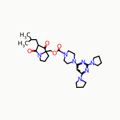 CC(C)CC1C(=O)N2CCCC2(COC(=O)N2CCN(c3cc(N4CCCC4)nc(N4CCCC4)n3)CC2)C1=O